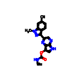 Cn1nc(-c2cnc3[nH]cc(OC(=O)NC(C)(C)C)c3n2)c2ccc(C#N)cc21